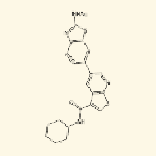 CC(=O)Nc1nc2ccc(-c3cnc4scc(C(=O)NC5CCCCC5)c4c3)cc2s1